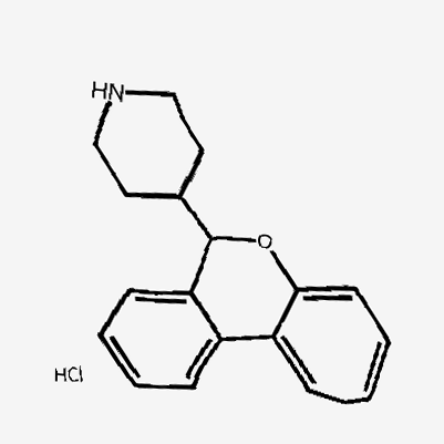 Cl.c1ccc2c(c1)OC(C1CCNCC1)c1ccccc1-2